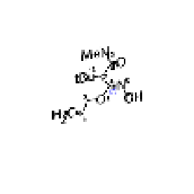 C=CCO/C(=N\O)C(C(=O)NC)C(C)(C)C